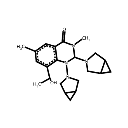 Cc1cc2c(c(C(C)O)c1)N(N1CC3CC3C1)C(N1CC3CC3C1)N(C)C2=O